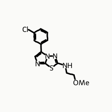 COCCNc1nn2c(-c3cccc(Cl)c3)cnc2s1